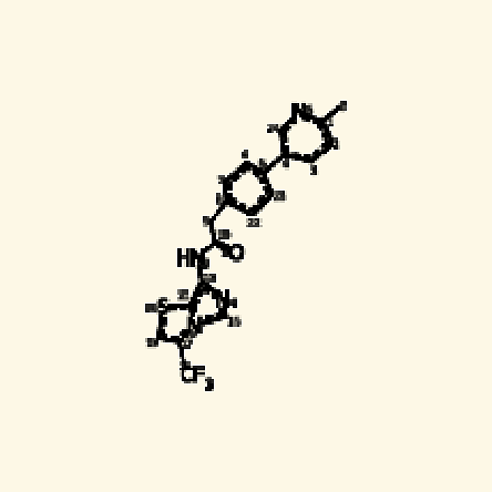 Cc1ccc(-c2ccc(CC(=O)Nc3ncn4c(C(F)(F)F)csc34)cc2)cn1